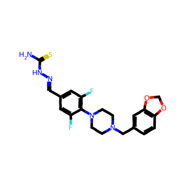 NC(=S)NN=Cc1cc(F)c(N2CCN(Cc3ccc4c(c3)OCO4)CC2)c(F)c1